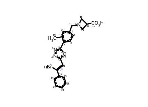 CCCC/C(=C\c1nnc(-c2ccc(CN3CC(C(=O)O)C3)cc2C)o1)c1ccccc1